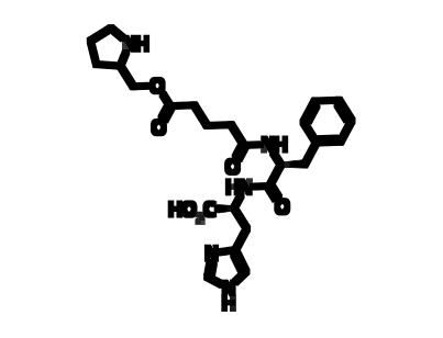 O=C(CCCC(=O)OCC1CCCN1)N[C@@H](Cc1ccccc1)C(=O)N[C@@H](Cc1c[nH]cn1)C(=O)O